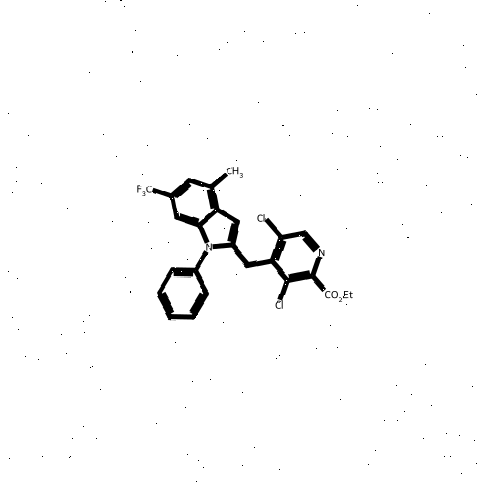 CCOC(=O)c1ncc(Cl)c(Cc2cc3c(C)cc(C(F)(F)F)cc3n2-c2ccccc2)c1Cl